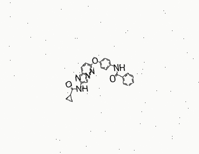 O=C(Nc1ccc(Oc2ccc3nc(NC(=O)C4CC4)cn3n2)cc1)c1ccccc1